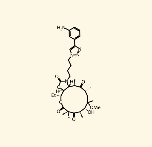 CC[C@H]1OC(=O)[C@@](C)(F)C(=O)[C@H](C)[C@@H](O)[C@](C)(OC)C[C@@H](C)C(=O)[C@H](C)[C@@H]2[C@@H]1OC(=O)N2CCCCn1cc(-c2cccc(N)c2)nn1